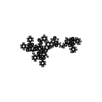 CC1O[C@@H](OC[C@@H](C)CCC(=O)[C@@H](C)C2C(=O)CC3C4CCC5CC(O[C@@H]6OC(COC(=O)c7ccccc7)[C@@H](O[C@@H]7OC(C)[C@H](C)[C@H](OC(=O)c8ccccc8)C7OC(=O)c7ccccc7)[C@H](C)C6O[C@@H]6OC(C)[C@H](C)[C@H](OC(=O)c7ccccc7)C6OC(=O)c6ccccc6)CCC5(C)C4CCC32C)C(OC(=O)c2ccccc2)[C@@H](OC(=O)c2ccccc2)[C@@H]1C